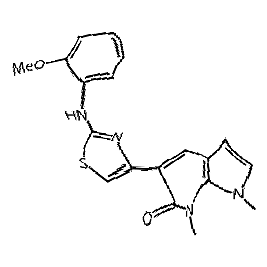 COc1ccccc1Nc1nc(-c2cc3ccn(C)c3n(C)c2=O)cs1